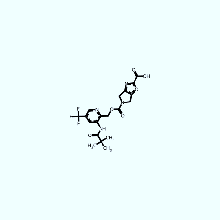 CC(C)(C)C(=O)Nc1cc(C(F)(F)F)cnc1COC(=O)N1Cc2nc(C(=O)O)oc2C1